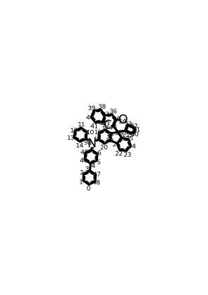 c1ccc(-c2ccc(N(c3ccccc3)c3ccc4c(c3)-c3ccccc3C43c4ccccc4Oc4cc5ccccc5cc43)cc2)cc1